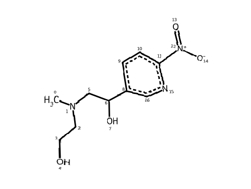 CN(CCO)CC(O)c1ccc([N+](=O)[O-])nc1